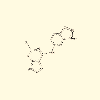 Clc1nc(Nc2ccc3cn[nH]c3c2)c2cc[nH]c2n1